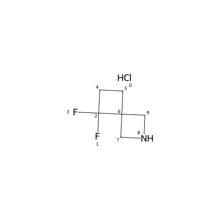 Cl.FC1(F)CCC12CNC2